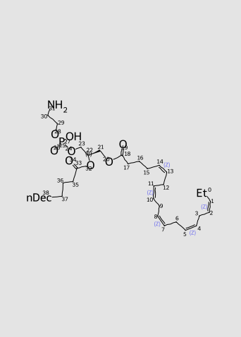 CC/C=C\C/C=C\C/C=C\C/C=C\C/C=C\CCCC(=O)OC[C@H](COP(=O)(O)OCCN)OC(=O)CCCCCCCCCCCCC